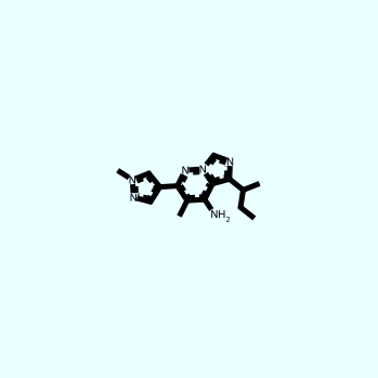 CCC(C)c1ncn2nc(-c3cnn(C)c3)c(C)c(N)c12